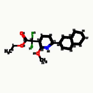 CCOC(=O)C(F)(F)c1ccc(-c2ccc3ccccc3c2)nc1OC